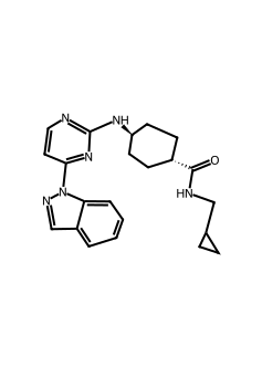 O=C(NCC1CC1)[C@H]1CC[C@H](Nc2nccc(-n3ncc4ccccc43)n2)CC1